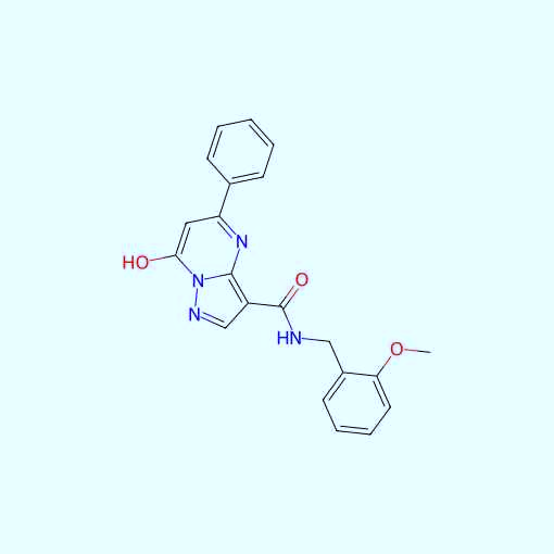 COc1ccccc1CNC(=O)c1cnn2c(O)cc(-c3ccccc3)nc12